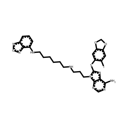 Nc1ncnc2c1nc(Sc1cc3c(cc1I)OCO3)n2CCCNCCCCCCNc1cccc2nonc12